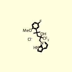 COc1ccc(F)cc1C(C)(C)CC(O)(C[n+]1cccc2cc[nH]c21)C(F)(F)F.[Cl-]